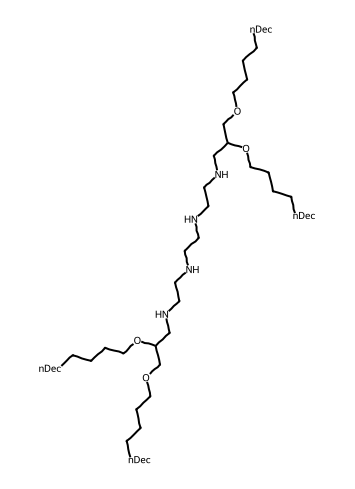 CCCCCCCCCCCCCCOCC(CNCCNCCNCCNCC(COCCCCCCCCCCCCCC)OCCCCCCCCCCCCCC)OCCCCCCCCCCCCCC